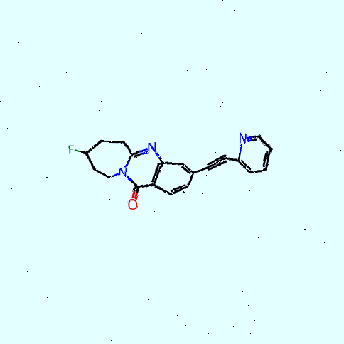 O=c1c2ccc(C#Cc3ccccn3)cc2nc2n1CCC(F)CC2